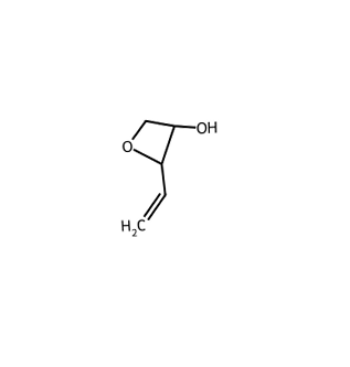 C=CC1OCC1O